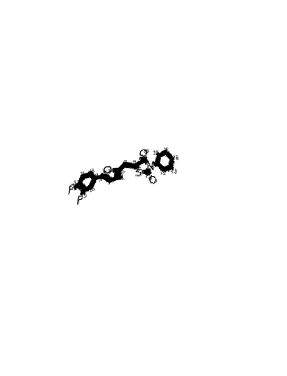 O=C1S/C(=C\c2ccc(-c3ccc(F)c(F)c3)o2)C(=O)N1C1CCCCC1